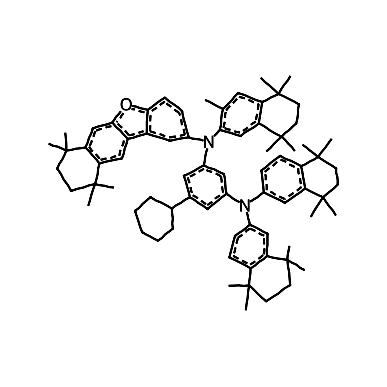 Cc1cc2c(cc1N(c1cc(C3CCCCC3)cc(N(c3ccc4c(c3)C(C)(C)CCC4(C)C)c3ccc4c(c3)C(C)(C)CCC4(C)C)c1)c1ccc3oc4cc5c(cc4c3c1)C(C)(C)CCC5(C)C)C(C)(C)CCC2(C)C